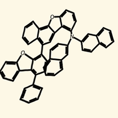 c1ccc(-c2ccc(-c3cc4c(oc5cccc(N(c6ccc7ccccc7c6)c6ccc7ccccc7c6)c54)c4ccccc34)c3oc4ccccc4c23)cc1